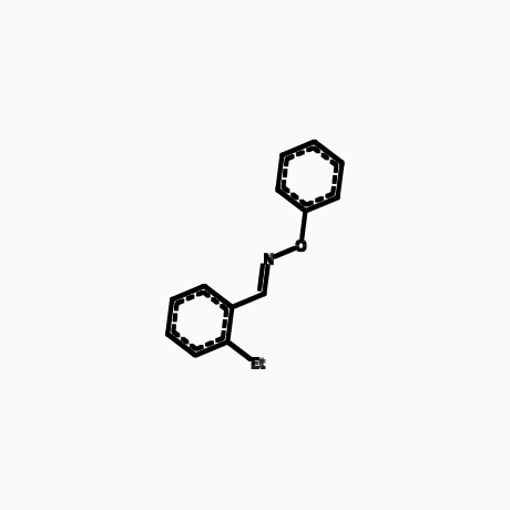 CCc1ccccc1/C=N/Oc1ccccc1